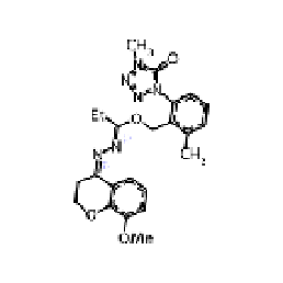 CC/C(=N\N=C1\CCOc2c(OC)cccc21)OCc1c(C)cccc1-n1nnn(C)c1=O